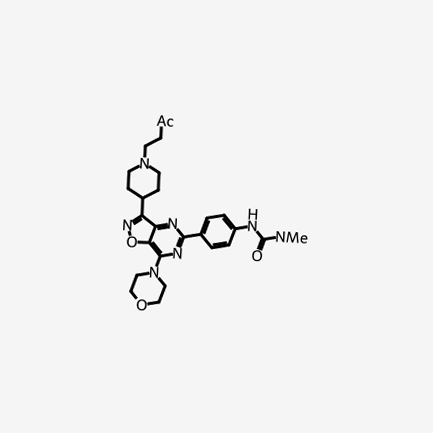 CNC(=O)Nc1ccc(-c2nc(N3CCOCC3)c3onc(C4CCN(CCC(C)=O)CC4)c3n2)cc1